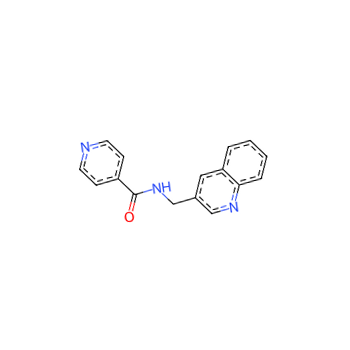 O=C(NCc1cnc2ccccc2c1)c1ccncc1